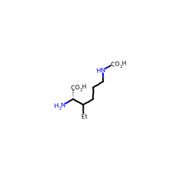 CCC(CCCNC(=O)O)[C@H](N)C(=O)O